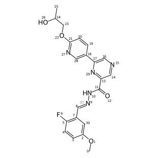 COc1ccc(F)c(/C=N/NC(=O)c2cncc(-c3ccc(OCC(C)O)nc3)n2)c1